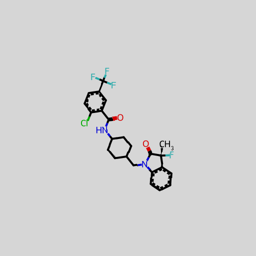 C[C@]1(F)C(=O)N(CC2CCC(NC(=O)c3cc(C(F)(F)F)ccc3Cl)CC2)c2ccccc21